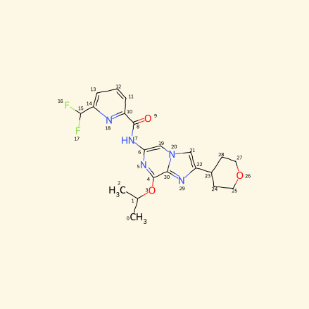 CC(C)Oc1nc(NC(=O)c2cccc(C(F)F)n2)cn2cc(C3CCOCC3)nc12